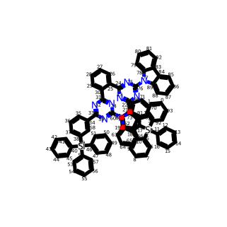 c1ccc([Si](c2ccccc2)(c2ccccc2)c2cccc(-c3nc(-c4ccccc4-c4nc(-c5cccc([Si](c6ccccc6)(c6ccccc6)c6ccccc6)c5)nc(-n5c6ccccc6c6ccccc65)n4)nc(-n4c5ccccc5c5ccccc54)n3)c2)cc1